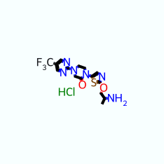 CC(N)COc1ncc(N2CCN(c3ncc(C(F)(F)F)cn3)CC2=O)s1.Cl